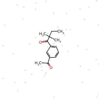 CCC(C)(C)C(=O)c1cccc(C(C)=O)c1